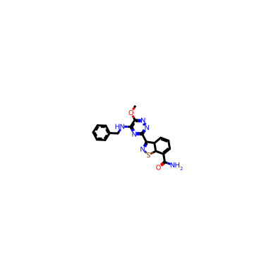 COc1nnc(C2=NSC3C(C(N)=O)=CC=CC23)nc1NCc1ccccc1